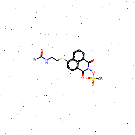 CCCC(=O)NCCSc1ccc2c3c(cccc13)C(=O)N(OS(=O)(=O)C(F)(F)F)C2=O